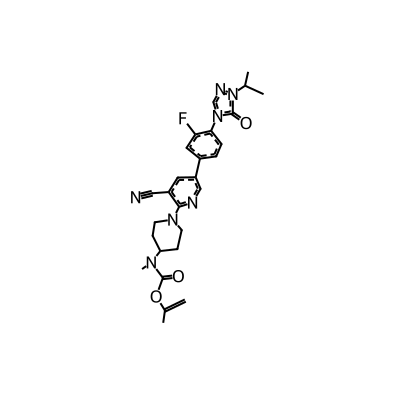 C=C(C)OC(=O)N(C)C1CCN(c2ncc(-c3ccc(-n4cnn(C(C)C)c4=O)c(F)c3)cc2C#N)CC1